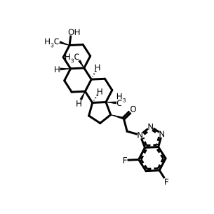 C[C@@]1(O)CC[C@@]2(C)[C@H](CC[C@@H]3[C@@H]2CC[C@]2(C)[C@@H](C(=O)Cn4nnc5cc(F)cc(F)c54)CC[C@@H]32)C1